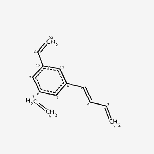 C=C.C=CC=Cc1cccc(C=C)c1